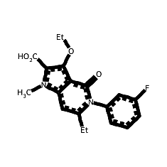 CCOc1c(C(=O)O)n(C)c2cc(CC)n(-c3cccc(F)c3)c(=O)c12